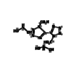 O=C(O)n1nnnc1-c1nnnn1C(=O)O.ONO.ONO